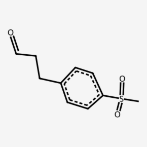 CS(=O)(=O)c1ccc(CCC=O)cc1